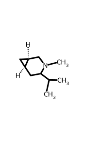 CC(C)C1C[C@H]2C[C@H]2CN1C